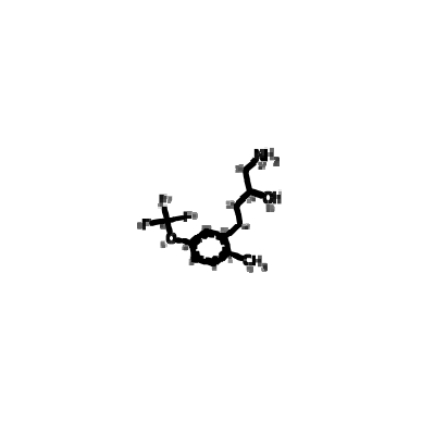 Cc1ccc(OC(F)(F)F)cc1CCC(O)CN